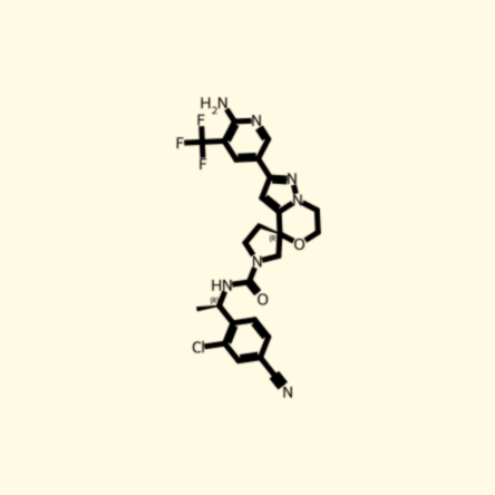 C[C@@H](NC(=O)N1CC[C@]2(C1)OCCn1nc(-c3cnc(N)c(C(F)(F)F)c3)cc12)c1ccc(C#N)cc1Cl